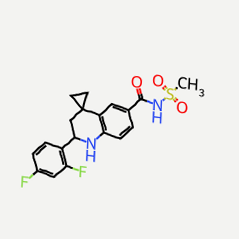 CS(=O)(=O)NC(=O)c1ccc2c(c1)C1(CC1)CC(c1ccc(F)cc1F)N2